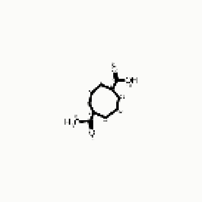 CC(=O)C1CCCC(C(=O)O)CCC1